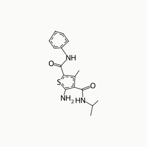 Cc1c(C(=O)Nc2ccccc2)sc(N)c1C(=O)NC(C)C